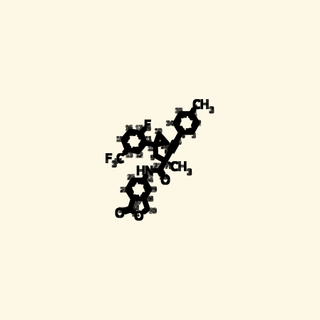 Cc1ccc(C#C[C@](C)(CC2(c3cc(C(F)(F)F)ccc3F)CC2)C(=O)Nc2ccc3c(c2)COC3=O)cc1